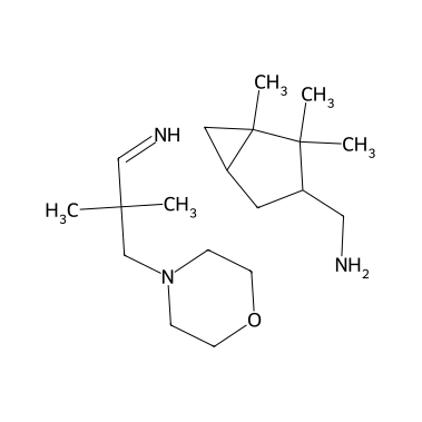 CC(C)(C=N)CN1CCOCC1.CC1(C)C(CN)CC2CC21C